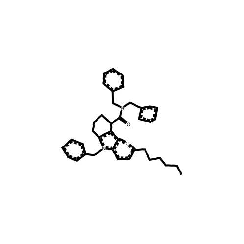 CCCCCCc1ccc2c(c1)c1c(n2Cc2ccccc2)CCCC1C(=O)N(Cc1ccccc1)Cc1ccccc1